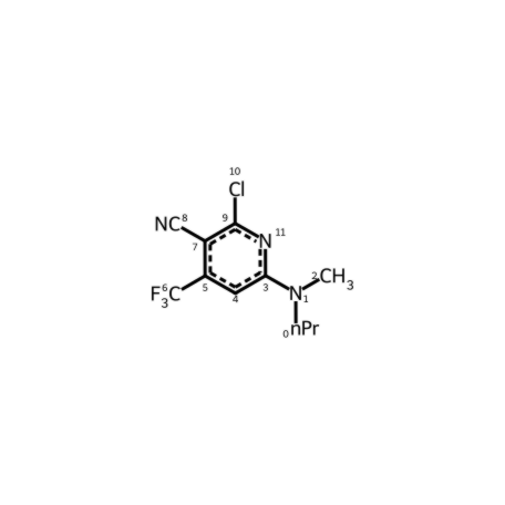 CCCN(C)c1cc(C(F)(F)F)c(C#N)c(Cl)n1